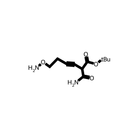 CC(C)(C)OC(=O)C(C#CCCON)C(N)=O